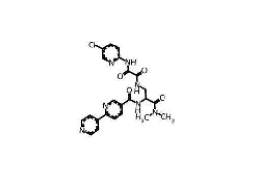 CN(C)C(=O)C(CNC(=O)C(=O)Nc1ccc(Cl)cn1)NC(=O)c1ccc(-c2ccncc2)nc1